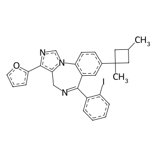 CC1CC(C)(c2ccc3c(c2)C(c2ccccc2I)=NCc2c(-c4ccco4)ncn2-3)C1